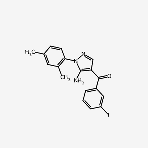 Cc1ccc(-n2ncc(C(=O)c3cccc(I)c3)c2N)c(C)c1